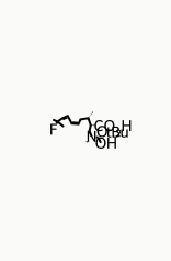 C[C@@H](C/C=C\C=C/C(C)(C)F)[C@@H](CN(C)C(O)OC(C)(C)C)C(=O)O